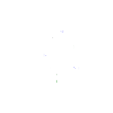 Cc1nc(C(N)=O)c(Cl)c(N)c1F